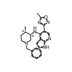 Cc1nc(-c2cnc3[nH]ccc3c2N[C@H]2CN(Cc3ccccc3)CC[C@H]2C)no1